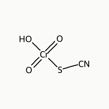 N#C[S][Cr](=[O])(=[O])[OH]